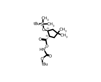 CC1(C)C[C@H](O[Si](C)(C)C(C)(C)C)[C@@H](C(=O)ONC(=O)OC(C)(C)C)C1